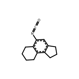 O=C=Nc1cc2c(c3c1CCCC3)CCC2